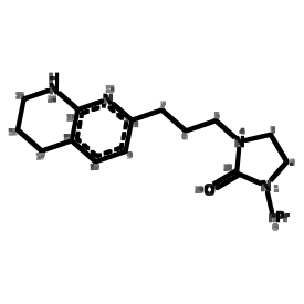 CCCN1CCN(CCCc2ccc3c(n2)NCCC3)C1=O